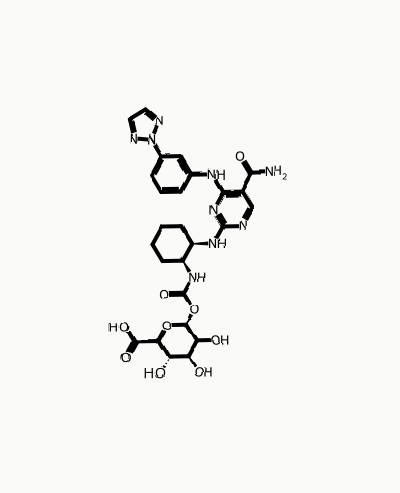 NC(=O)c1cnc(N[C@@H]2CCCC[C@@H]2NC(=O)O[C@@H]2OC(C(=O)O)[C@@H](O)[C@H](O)C2O)nc1Nc1cccc(-n2nccn2)c1